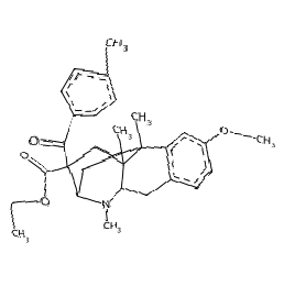 CCOC(=O)C1(C(=O)c2ccc(C)cc2)CC2(C)C3Cc4ccc(OC)cc4C2(C)CC1N3C